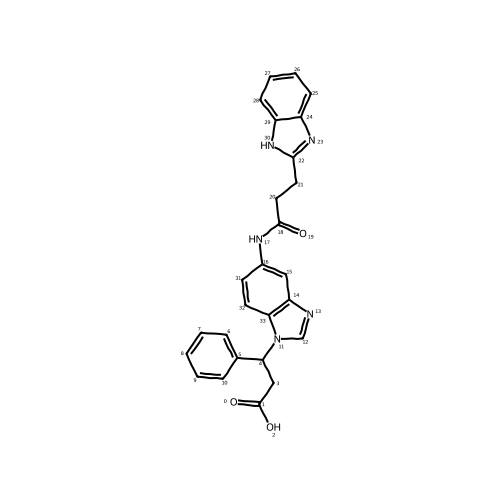 O=C(O)CC(c1ccccc1)n1cnc2cc(NC(=O)CCc3nc4ccccc4[nH]3)ccc21